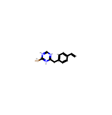 C=Cc1ccc(Cc2ncnc(S)n2)cc1